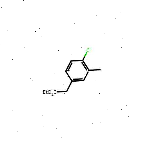 CCOC(=O)Cc1ccc(Cl)c(C)c1